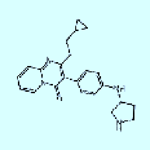 O=c1c(-c2ccc(N[C@@H]3CCNC3)cc2)c(CCC2CC2)nc2ccccn12